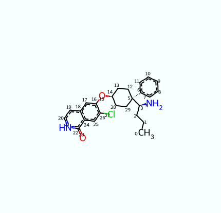 CCC[C@H](N)[C@]1(c2ccccc2)CC[C@H](Oc2cc3cc[nH]c(=O)c3cc2Cl)CC1